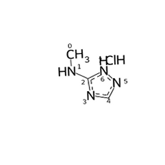 CNc1ncn[nH]1.Cl